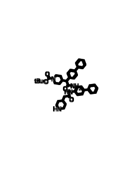 CC(C)(C)OC(=O)N1CCC(C(C(N)=O)c2ccc(-c3ccccc3)cc2)CC1.O=C(CC1CCNCC1)Nc1ccc(-c2ccccc2)cc1